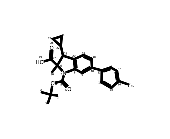 CC(C)(C)OC(=O)N1c2cc(-c3ccc(F)cc3)ccc2C(C2CC2)C1(C)C(=O)O